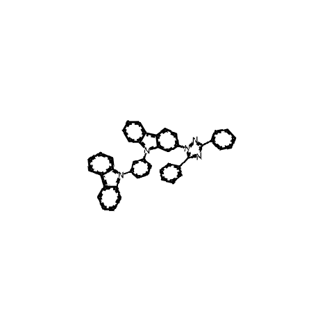 c1ccc(-c2nc(-c3ccccc3)n(-c3ccc4c5ccccc5n(-c5cccc(-n6c7ccccc7c7ccccc76)c5)c4c3)n2)cc1